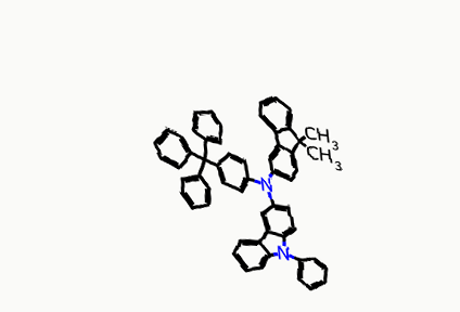 CC1(C)c2ccccc2-c2cc(N(c3ccc(C(c4ccccc4)(c4ccccc4)c4ccccc4)cc3)c3ccc4c(c3)c3ccccc3n4-c3ccccc3)ccc21